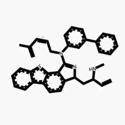 C=CC(CC1N=C(N(C/C=C\C(=C)C)c2cccc(-c3ccccc3)c2)c2c1ccc1c2sc2ccccc21)NC